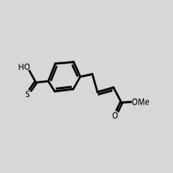 COC(=O)C=CCc1ccc(C(O)=S)cc1